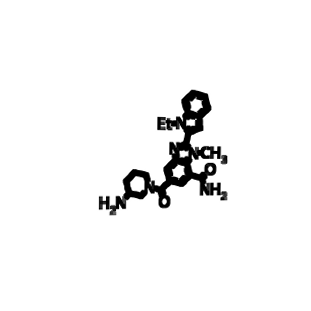 CCn1c(-c2nc3cc(C(=O)N4CCCC(N)C4)cc(C(N)=O)c3n2C)cc2ccccc21